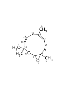 C/C1=C/CCC2(C)OC2CC(C)(C)/C=C\C1